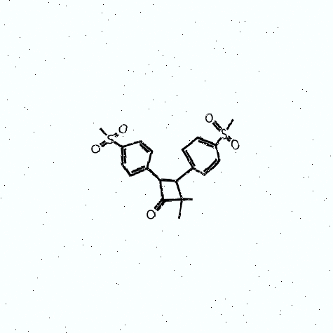 CC1(C)C(=O)C(c2ccc(S(C)(=O)=O)cc2)C1c1ccc(S(C)(=O)=O)cc1